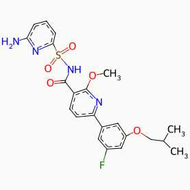 COc1nc(-c2cc(F)cc(OCC(C)C)c2)ccc1C(=O)NS(=O)(=O)c1cccc(N)n1